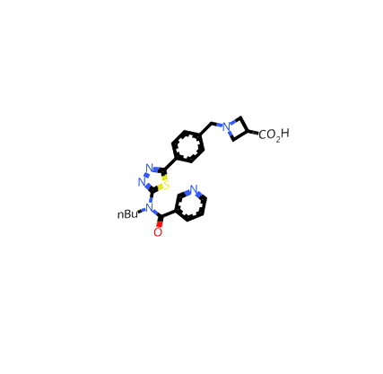 CCCCN(C(=O)c1cccnc1)c1nnc(-c2ccc(CN3CC(C(=O)O)C3)cc2)s1